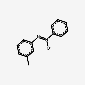 Cc1cccc(N=[N+]([O-])c2ccccc2)c1